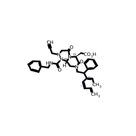 C#CCN1CC(=O)N2[C@@H](CC(=O)O)C(=O)N(CC(C(/C=C\C=C)=C/C)c3ccccc3)C[C@@H]2N1C(=O)NCc1ccccc1